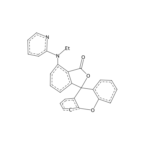 CCN(c1ccccn1)c1cccc2c1C(=O)OC21c2ccccc2Oc2ccccc21